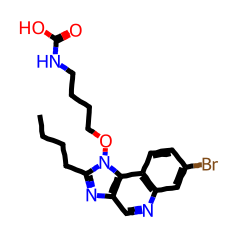 CCCCc1nc2cnc3cc(Br)ccc3c2n1OCCCCNC(=O)O